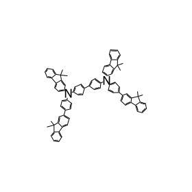 CC1(C)c2ccccc2-c2ccc(-c3ccc(N(c4ccc(-c5ccc(N(c6ccc(-c7ccc8c(c7)C(C)(C)c7ccccc7-8)cc6)c6ccc7c(c6)C(C)(C)c6ccccc6-7)cc5)cc4)c4ccc5c(c4)C(C)(C)c4ccccc4-5)cc3)cc21